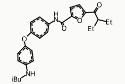 CCC(C)Nc1ccc(Oc2ccc(NC(=O)c3ccc(C(=O)C(CC)CC)o3)cc2)cc1